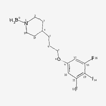 BN1CCC(CCCOc2cc(F)c(I)c(F)c2)CC1